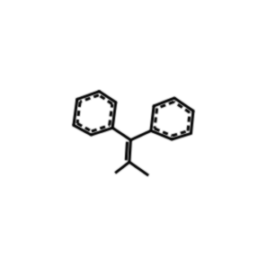 CC(C)=C(c1ccccc1)c1ccccc1